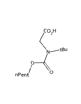 CCCCCOC(=O)N(CC(=O)O)C(C)(C)C